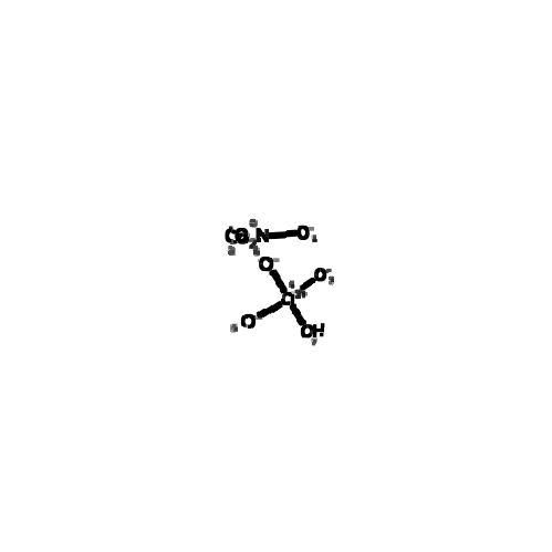 O=[N+]([O-])[O-].[Co].[O-][Cl+3]([O-])([O-])O